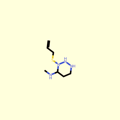 C=CCSN1NNCCC1NC